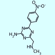 CNCc1nc(N)nc(-c2ccc([N+](=O)[O-])cc2)n1